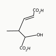 CC(C=CC(=O)O)C(O)C(=O)O